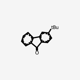 CC(C)(C)c1ccc2c(c1)-c1ccccc1C2=O